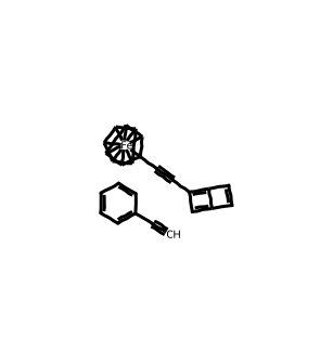 C#Cc1ccccc1.C(#C[C]12[CH]3[CH]4[CH]5[CH]1[Fe]45321678[CH]2[CH]1[CH]6[CH]7[CH]28)c1cc2ccc1-2